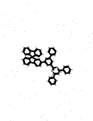 c1ccc(-c2cc(-c3ccc4c(c3)C3(c5ccccc5-c5ccccc53)c3ccccc3-4)cc(-c3nc(-c4ccccc4)cc(-c4ccccc4)n3)c2)cc1